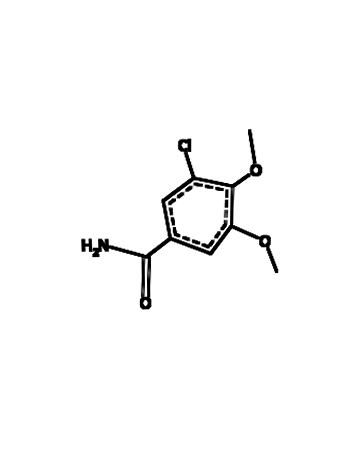 COc1cc(C(N)=O)cc(Cl)c1OC